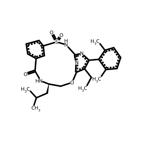 CCc1c2nc(nc1-c1c(C)cccc1C)NS(=O)(=O)c1cccc(c1)C(=O)N[C@H](CC(C)C)CO2